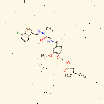 COc1cc(C(=O)NCC(=O)N(C)/N=C/c2csc3c(F)cccc23)ccc1OCCOC(=O)CC(C)C